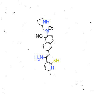 CCN(CC1CCCN1)c1ccc2c(c1C#N)CCC(/C=C(\N)c1ccc(C)nc1S)C2